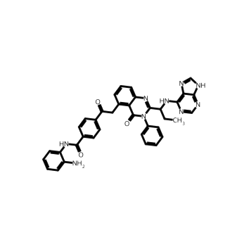 CCC(Nc1ncnc2[nH]cnc12)c1nc2cccc(CC(=O)c3ccc(C(=O)Nc4ccccc4N)cc3)c2c(=O)n1-c1ccccc1